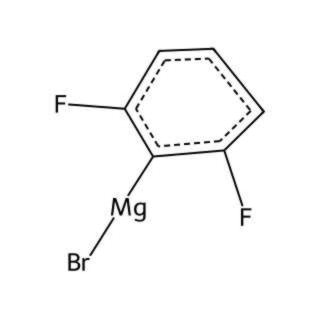 Fc1cccc(F)[c]1[Mg][Br]